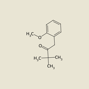 COc1ccccc1CC(=O)C(C)(C)C